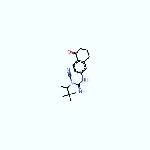 CC(N(C#N)C(=N)Nc1ccc2c(c1)CCCC2=O)C(C)(C)C